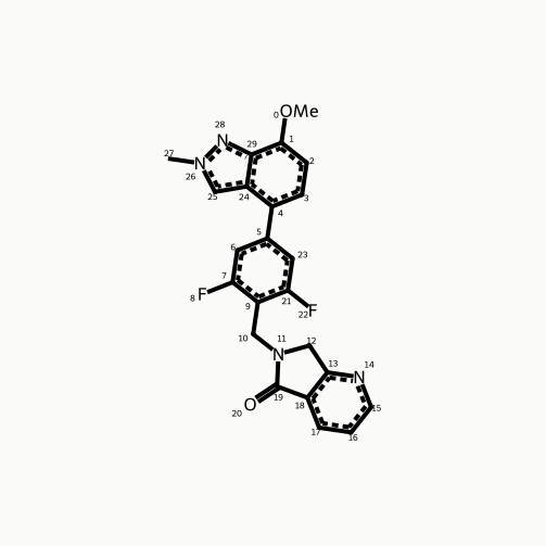 COc1ccc(-c2cc(F)c(CN3Cc4ncccc4C3=O)c(F)c2)c2cn(C)nc12